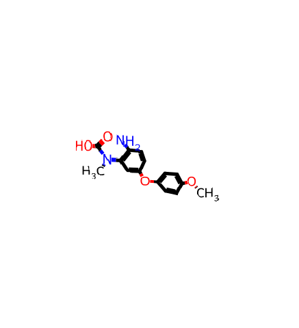 COc1ccc(Oc2ccc(N)c(N(C)C(=O)O)c2)cc1